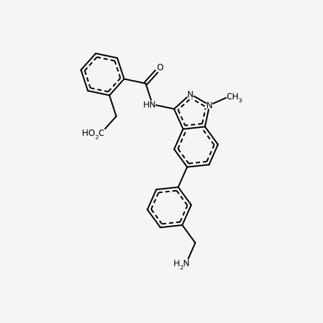 Cn1nc(NC(=O)c2ccccc2CC(=O)O)c2cc(-c3cccc(CN)c3)ccc21